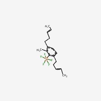 C/C=C/CCc1ccc(CC/C=C/C)c(S(F)(F)(F)(F)F)c1C